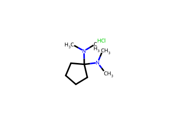 CN(C)C1(N(C)C)CCCC1.Cl